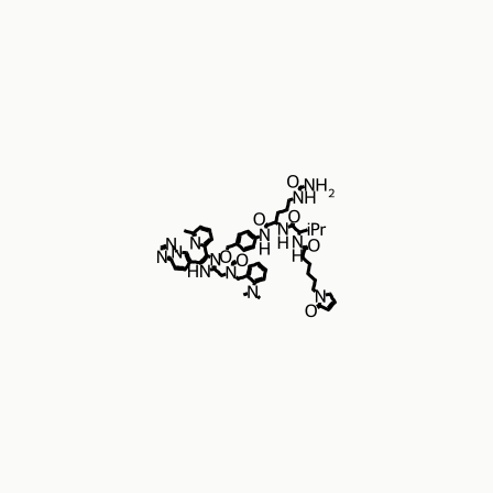 Cc1cccc(-c2nc(CN(Cc3ccccc3N(C)C)C(=O)OCc3ccc(NC(=O)C(CCCNC(N)=O)NC(=O)C(NC(=O)CCCCCN4CC=CC4=O)C(C)C)cc3)[nH]c2-c2ccc3ncnn3c2)n1